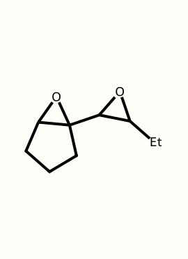 CCC1OC1C12CCCC1O2